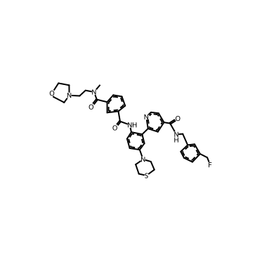 CN(CCN1CCOCC1)C(=O)c1cccc(C(=O)Nc2ccc(N3CCSCC3)cc2-c2cc(C(=O)NCc3cccc(CF)c3)ccn2)c1